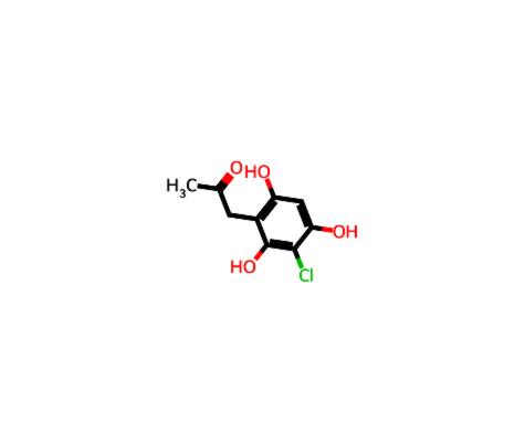 CC(=O)Cc1c(O)cc(O)c(Cl)c1O